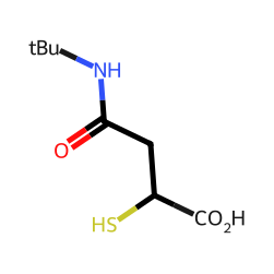 CC(C)(C)NC(=O)CC(S)C(=O)O